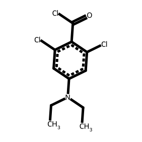 CCN(CC)c1cc(Cl)c(C(=O)Cl)c(Cl)c1